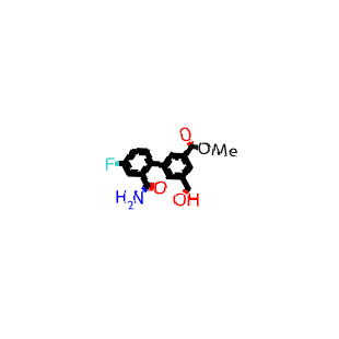 COC(=O)c1cc(CO)cc(-c2ccc(F)cc2C(N)=O)c1